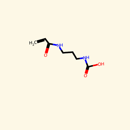 C=CC(=O)NCCCNC(=O)O